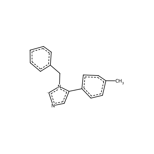 Cc1ccc(-c2cn[c]n2Cc2ccccc2)cc1